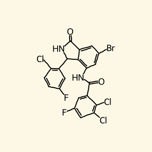 O=C(Nc1cc(Br)cc2c1C(c1cc(F)ccc1Cl)NC2=O)c1cc(F)cc(Cl)c1Cl